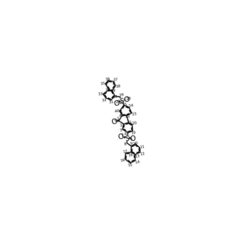 O=C1c2cc(S(=O)(=O)Cc3cccc4ccccc34)ccc2-c2ccc(S(=O)(=O)Cc3cccc4ccccc34)cc21